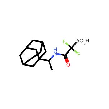 CC(NC(=O)C(F)(F)S(=O)(=O)O)C12CC3CC(CC(C3)C1)C2